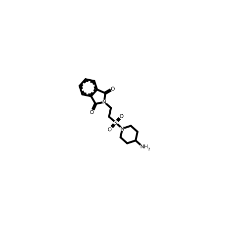 NC1CCN(S(=O)(=O)CCN2C(=O)c3ccccc3C2=O)CC1